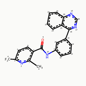 Cc1nc(C(F)(F)F)ccc1C(=O)Nc1cccc(-c2ncnc3ccccc23)c1